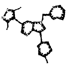 Cc1ccc(-c2cn(Cc3ccccn3)c3cc(-c4c(C)noc4C)cnc23)cc1